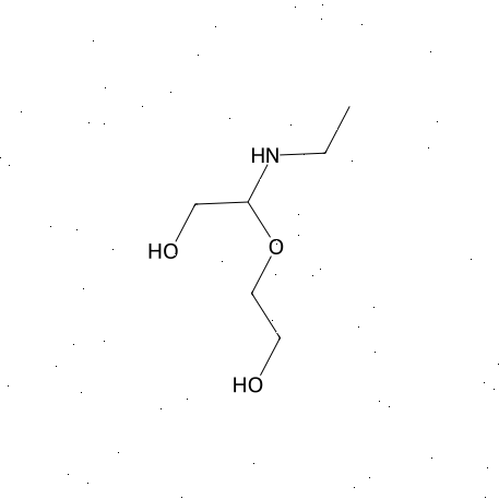 CCNC(CO)OCCO